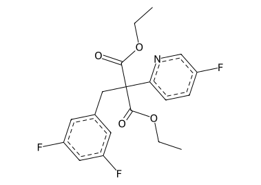 CCOC(=O)C(Cc1cc(F)cc(F)c1)(C(=O)OCC)c1ccc(F)cn1